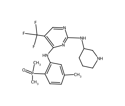 Cc1ccc(P(C)(C)=O)c(Nc2nc(NC3CCCNC3)ncc2C(F)(F)F)c1